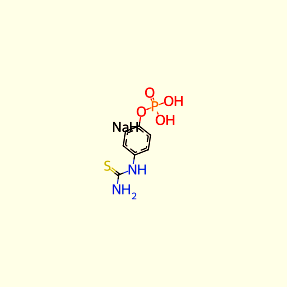 NC(=S)Nc1ccc(OP(=O)(O)O)cc1.[NaH]